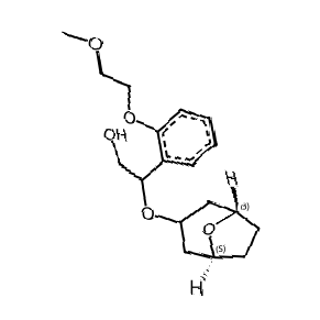 COCCOc1ccccc1C(CO)OC1C[C@@H]2CC[C@@H](C1)O2